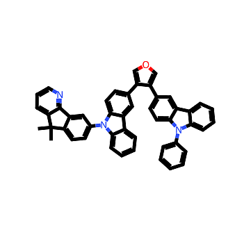 CC1(C)c2ccc(-n3c4ccccc4c4cc(-c5cocc5-c5ccc6c(c5)c5ccccc5n6-c5ccccc5)ccc43)cc2-c2ncccc21